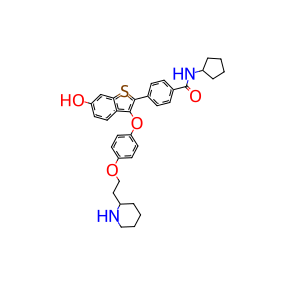 O=C(NC1CCCC1)c1ccc(-c2sc3cc(O)ccc3c2Oc2ccc(OCCC3CCCCN3)cc2)cc1